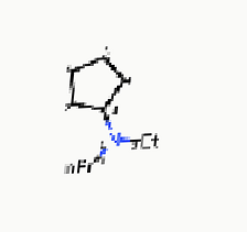 CCCN(CC)C1CCCC1